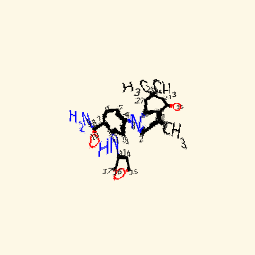 Cc1cn(-c2ccc(C(N)=O)c(NC3CCOC3)c2)c2c1C(=O)CC(C)(C)C2